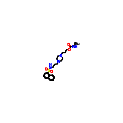 CC(C)(C)NC(=O)OCCCN1CCN(CCCNS(=O)(=O)c2cccc3ccccc23)CC1